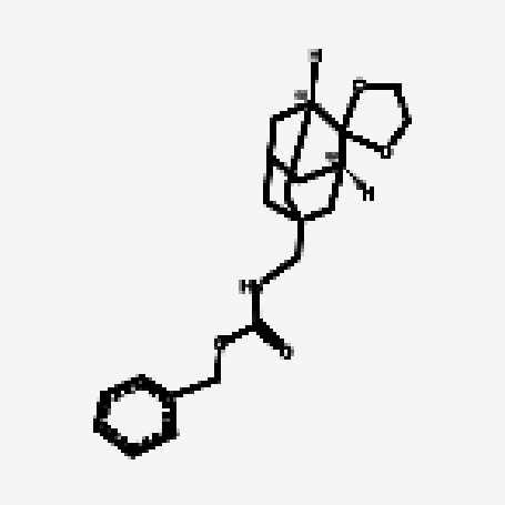 O=C(NCC12CC3C[C@H](C1)C1(OCCO1)[C@@H](C3)C2)OCc1ccccc1